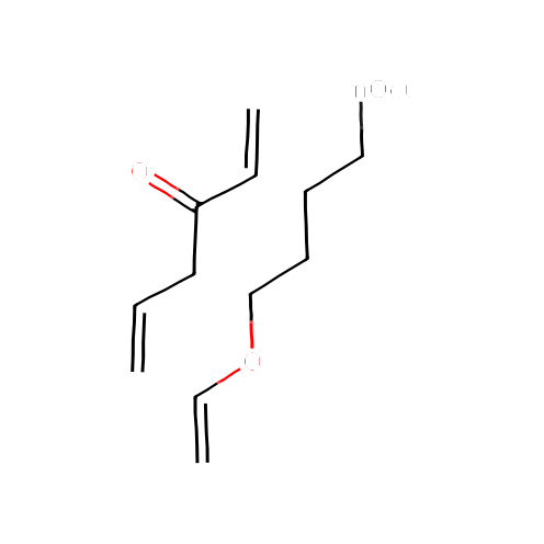 C=CCC(=O)C=C.C=COCCCCCCCCCCCC